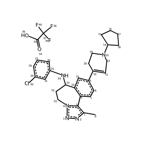 Cc1nnn2c1-c1ccc(C3=CCN(C4CCCC4)CC3)cc1C(Nc1cccc(Cl)c1)CC2.O=C(O)C(F)(F)F